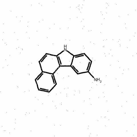 Nc1ccc2[nH]c3ccc4ccccc4c3c2c1